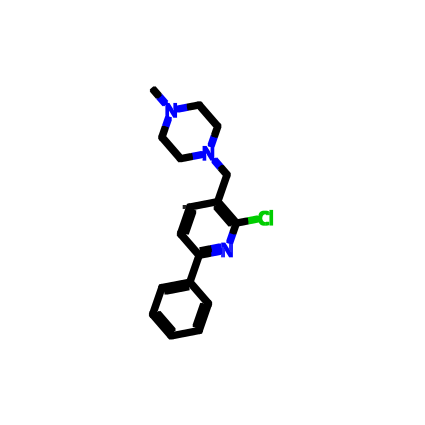 CN1CCN(Cc2[c]cc(-c3ccccc3)nc2Cl)CC1